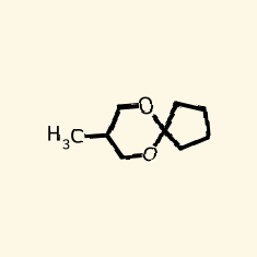 CC1COC2(CCCC2)OC1